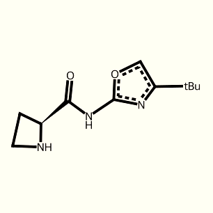 CC(C)(C)c1coc(NC(=O)[C@@H]2CCN2)n1